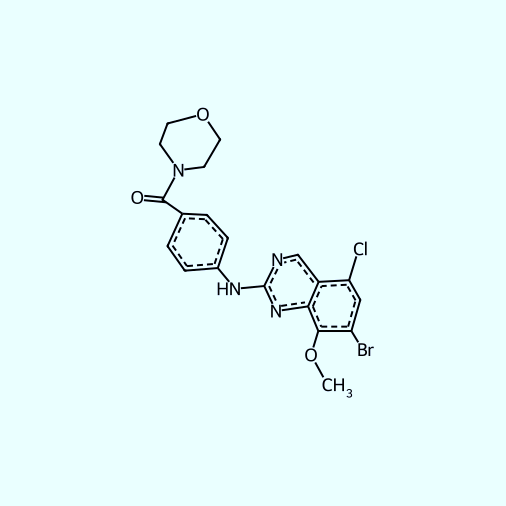 COc1c(Br)cc(Cl)c2cnc(Nc3ccc(C(=O)N4CCOCC4)cc3)nc12